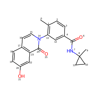 Cc1ccc(C(=O)NC2(C)CC2)cc1-n1ccc2ccc(O)cc2c1=O